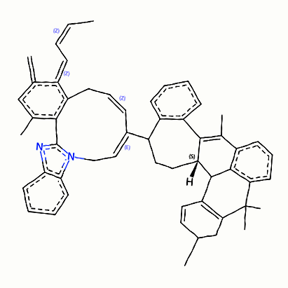 C=c1cc(C)c2c(/c1=C/C=C\C)C/C=C\C(C1CC[C@@H]3C(=C(C)c4cccc5c4C3C3=C(CC(C)C=C3)C5(C)C)c3ccccc31)=C/Cn1c-2nc2ccccc21